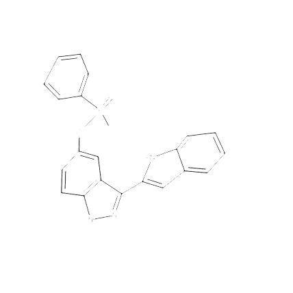 CP(=O)(Oc1ccc2[nH]nc(-c3cc4ccccc4[nH]3)c2c1)c1ccccc1